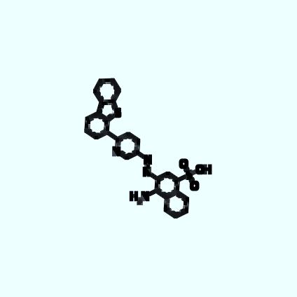 Nc1c(N=Nc2ccc(-c3cccc4c3sc3ccccc34)nc2)cc(S(=O)(=O)O)c2ccccc12